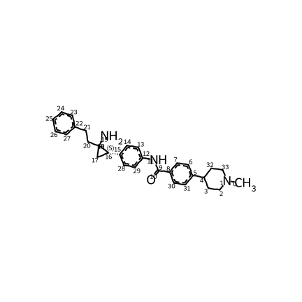 CN1CCC(c2ccc(C(=O)Nc3ccc([C@@H]4C[C@]4(N)CCc4ccccc4)cc3)cc2)CC1